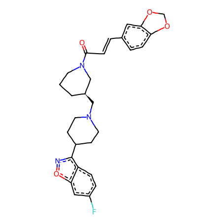 O=C(/C=C/c1ccc2c(c1)OCO2)N1CCC[C@H](CN2CCC(c3noc4cc(F)ccc34)CC2)C1